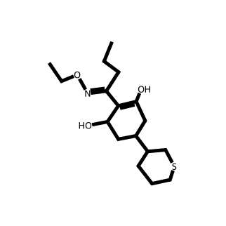 CCCC(=NOCC)C1=C(O)CC(C2CCCSC2)CC1O